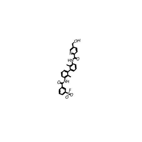 Cc1c(NC(=O)c2cccc(S(=O)(=O)F)c2)cccc1-c1cccc(NC(=O)c2ccc(CO)cn2)c1C